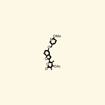 COc1ccc(COc2ccc3oc(-c4oc(=O)c(C)c(OC(C)=O)c4C)cc3c2)cn1